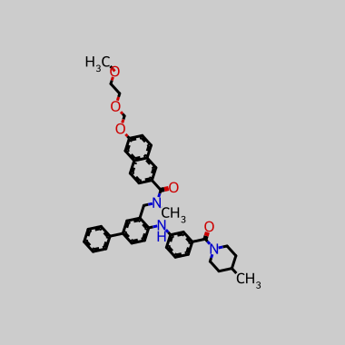 COCCOCOc1ccc2cc(C(=O)N(C)Cc3cc(-c4ccccc4)ccc3Nc3cccc(C(=O)N4CCC(C)CC4)c3)ccc2c1